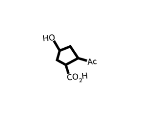 CC(=O)C1CC(O)CC1C(=O)O